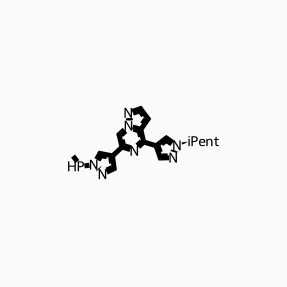 CCC[C@@H](C)n1cc(-c2nc(-c3cnn(PC)c3)cn3nccc23)cn1